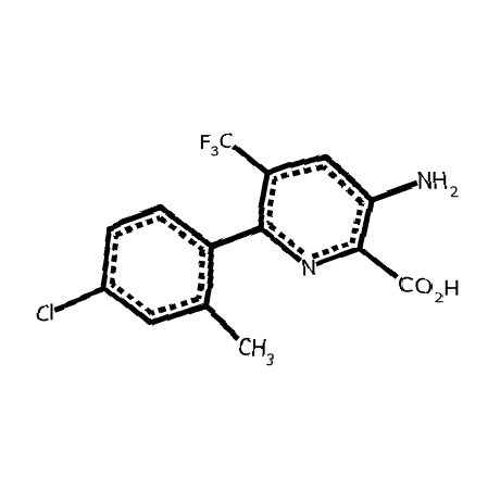 Cc1cc(Cl)ccc1-c1nc(C(=O)O)c(N)cc1C(F)(F)F